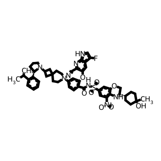 CC(C)c1ccccc1[C@H]1CCCN1C1CC2(CCN(c3ccc(C(=O)NS(=O)(=O)c4cc5c(c([N+](=O)[O-])c4)N[C@@H](C4CCC(C)(O)CC4)CO5)c(Oc4cc5c(F)c[nH]c5nc4C#N)c3)CC2)C1